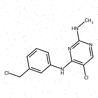 CNc1ncc(Cl)c(Nc2cccc(CCl)c2)n1